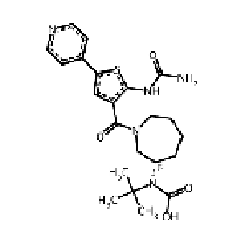 CC(C)(C)N(C(=O)O)[C@H]1CCCCN(C(=O)c2cc(-c3ccncc3)sc2NC(N)=O)C1